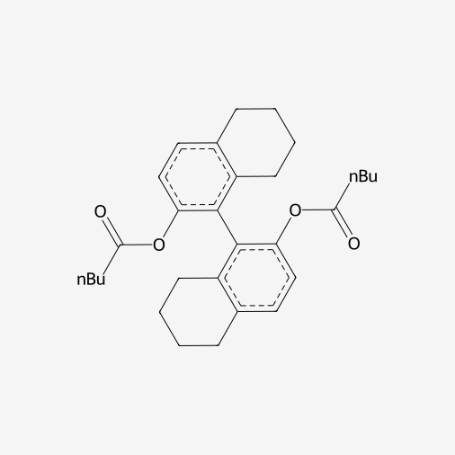 CCCCC(=O)Oc1ccc2c(c1-c1c(OC(=O)CCCC)ccc3c1CCCC3)CCCC2